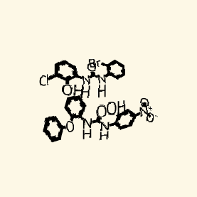 O=C(Nc1ccc([N+](=O)[O-])cc1O)Nc1ccccc1Oc1ccccc1.O=C(Nc1ccccc1Br)Nc1cccc(Cl)c1O